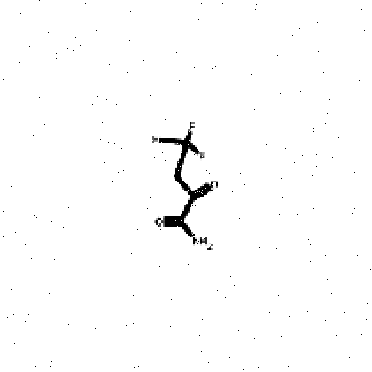 NC(=O)C(=O)CC(F)(F)F